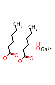 CCCCCC(=O)[O-].CCCCCC(=O)[O-].[Ga+3].[OH-]